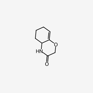 O=C1COC2=CCCCC2N1